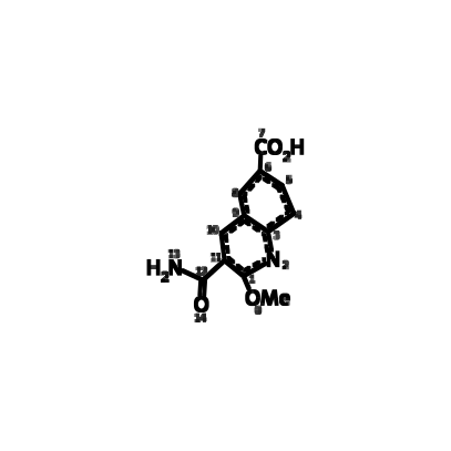 COc1nc2ccc(C(=O)O)cc2cc1C(N)=O